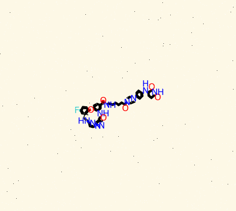 O=C1CCC(Nc2ccc(N3CCN(C(=O)CCCCCNC(=O)c4ccc5c(c4)NC(=O)c4cnn6ccc(nc46)NCc4cc(F)ccc4O5)CC3)cc2)C(=O)N1